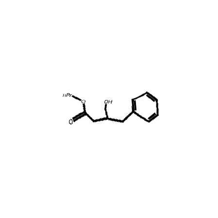 CCCOC(=O)CC(O)Cc1ccccc1